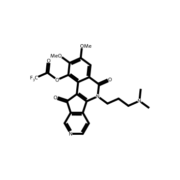 COc1cc2c(=O)n(CCCN(C)C)c3c(c2c(OC(=O)C(F)(F)F)c1OC)C(=O)c1cnccc1-3